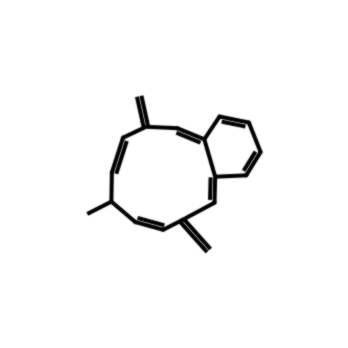 C=C1/C=C\C(C)/C=C\C(=C)/C=c2/cccc/c2=C/1